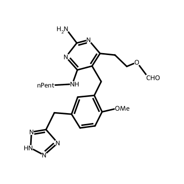 CCCCCNc1nc(N)nc(CCOC=O)c1Cc1cc(Cc2nn[nH]n2)ccc1OC